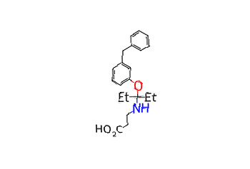 CCC(CC)(NCCC(=O)O)Oc1cccc(Cc2ccccc2)c1